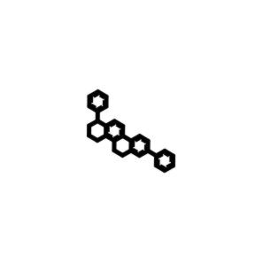 c1ccc(-c2ccc3c(c2)CCc2c-3ccc3c2CCCC3c2ccccc2)cc1